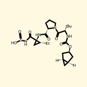 CC[C@@H]1C[C@]1(NC(=O)[C@@H]1CCCN1C(=O)[C@@H](NC(=O)O[C@@H]1C[C@@H]2C[C@@H]2C1)C(C)(C)C)C(=O)NS(=O)O